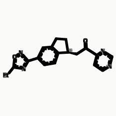 CCc1nc(-c2ccc3c(c2)CC[C@H]3CC(=O)c2ccncn2)no1